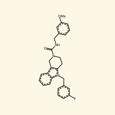 COc1cccc(CNC(=O)N2CCc3c(c4ccccc4n3Cc3cccc(F)c3)C2)c1